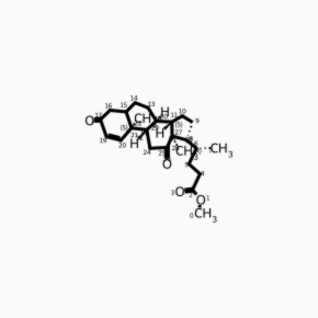 COC(=O)CC[C@@H](C)[C@H]1CC[C@H]2[C@@H]3CCC4CC(=O)C=C[C@]4(C)[C@H]3CC(=O)[C@]12C